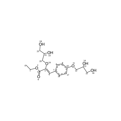 CCOC(=O)C(=Cc1ccc(OCC(O)CO)cc1)OCC(O)CO